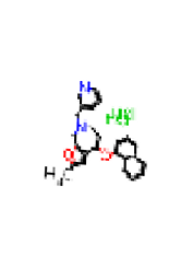 Cc1cc2c(o1)CN(Cc1cccnc1)CCC2Oc1cccc2ccccc12.Cl.Cl